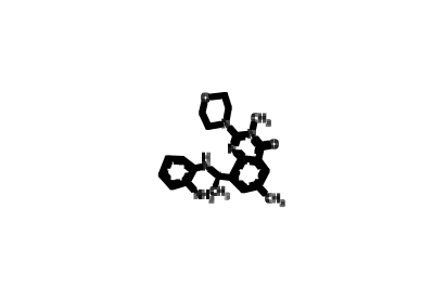 Cc1cc([C@@H](C)Nc2ccccc2N)c2nc(N3CCOCC3)n(C)c(=O)c2c1